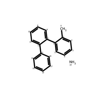 Cc1ccccc1-c1ccccc1-c1ccccc1.N